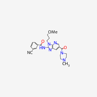 COCCCn1c(NC(=O)c2cccc(C#N)c2)nc2cc(C(=O)N3CCN(C)CC3)cnc21